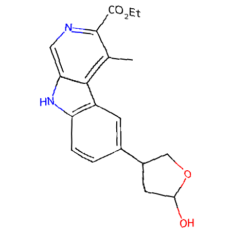 CCOC(=O)c1ncc2[nH]c3ccc(C4COC(O)C4)cc3c2c1C